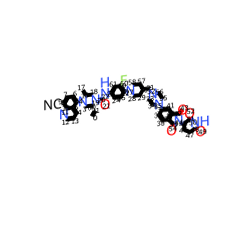 C=C[C@@H]1CN(c2ccc(C#N)c3ncccc23)C(C)CN1C(=O)Nc1ccc(N2CCC(CN3CCN(c4ccc5c(c4)C(=O)N(C4CCC(=O)NC4=O)C5=O)CC3)CC2)c(F)c1